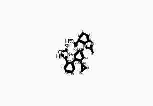 Cc1nc2cccc(C(=O)O)c2n1-c1ccc(-c2ccccc2-c2nc(=S)o[nH]2)c(C2CC2)c1